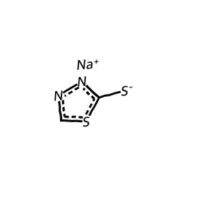 [Na+].[S-]c1nncs1